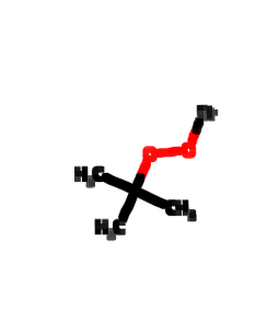 C[CH]OOC(C)(C)C